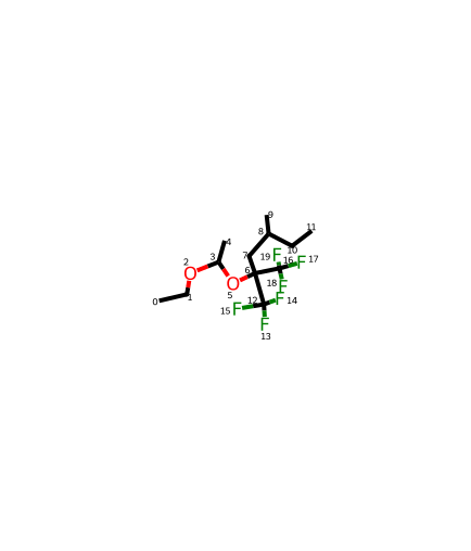 CCOC(C)OC(CC(C)CC)(C(F)(F)F)C(F)(F)F